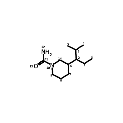 CCC(C(C)C)C1CCCN(C(N)=O)C1